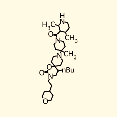 CCCCC1CN(CCC2CCOCC2)C(=O)OC12CCN(C1(C)CCN(C(=O)C3C(C)CCNC3C)CC1)CC2